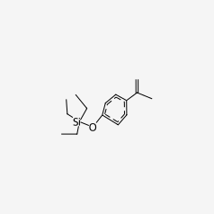 C=C(C)c1ccc(O[Si](CC)(CC)CC)cc1